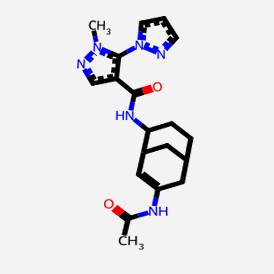 CC(=O)NC1=CC2CC(CCC2NC(=O)c2cnn(C)c2-n2cccn2)C1